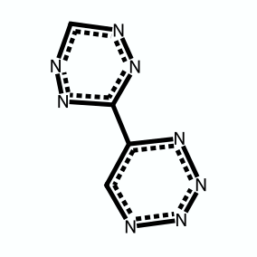 c1nnc(-c2cnnnn2)nn1